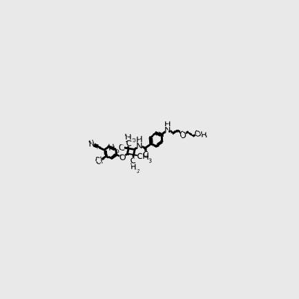 CC1(C)C(NC(=O)c2ccc(NCCOCCO)cc2)C(C)(C)C1Oc1ccc(C#N)c(Cl)c1